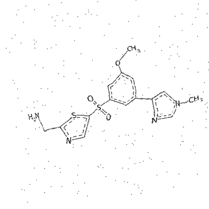 COc1cc(-c2cn(C)cn2)cc(S(=O)(=O)c2cnc(CN)s2)c1